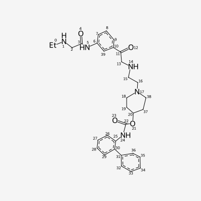 CCNCC(=O)Nc1cccc(C(=O)CNCCN2CCC(OC(=O)Nc3ccccc3-c3ccccc3)CC2)c1